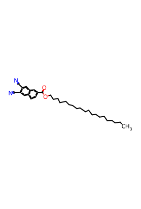 CCCCCCCCCCCCCCCCCCCCOC(=O)c1ccc2cc(C#N)c(C#N)cc2c1